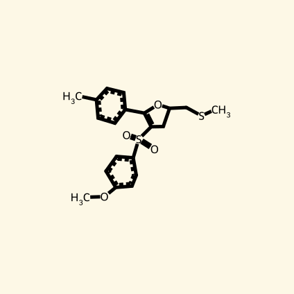 COc1ccc(S(=O)(=O)C2=C(c3ccc(C)cc3)OC(CSC)C2)cc1